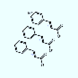 O=C([O-])/C=C/c1ccccc1.O=C([O-])/C=C/c1ccccc1.O=C([O-])/C=C/c1ccccc1.[In+3]